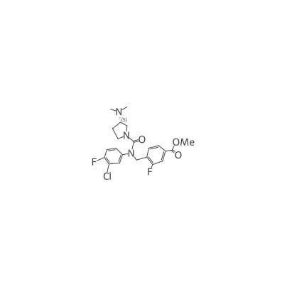 COC(=O)c1ccc(CN(C(=O)N2CC[C@H](N(C)C)C2)c2ccc(F)c(Cl)c2)c(F)c1